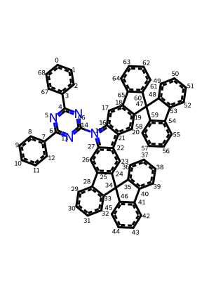 c1ccc(-c2nc(-c3ccccc3)nc(-n3c4cc5c(cc4c4cc6c(cc43)-c3ccccc3C63c4ccccc4-c4ccccc43)C3(c4ccccc4-c4ccccc43)c3ccccc3-5)n2)cc1